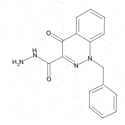 NNC(=O)c1nn(Cc2ccccc2)c2ccccc2c1=O